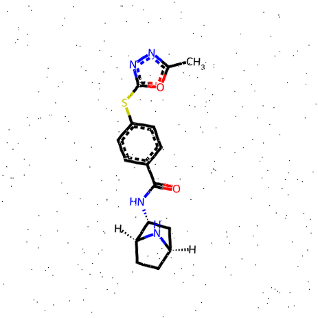 Cc1nnc(Sc2ccc(C(=O)N[C@@H]3C[C@H]4CC[C@@H]3N4)cc2)o1